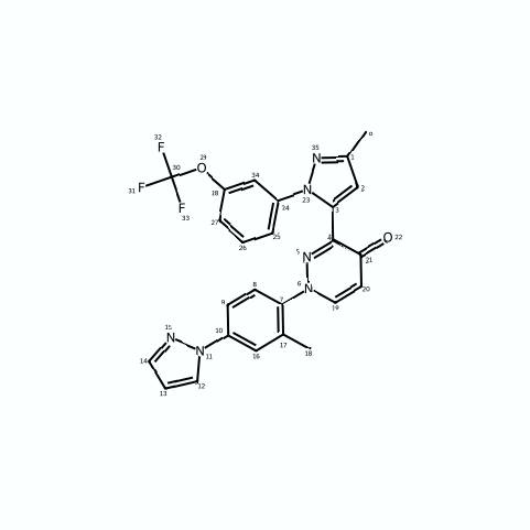 Cc1cc(-c2nn(-c3ccc(-n4cccn4)cc3C)ccc2=O)n(-c2cccc(OC(F)(F)F)c2)n1